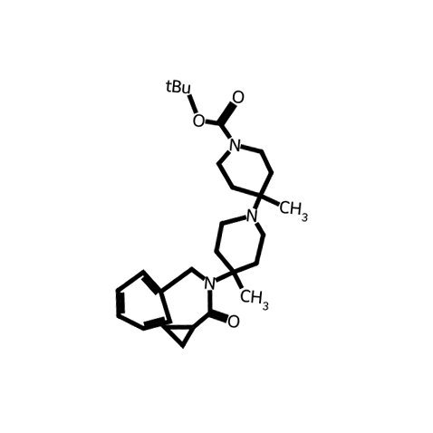 CC(C)(C)OC(=O)N1CCC(C)(N2CCC(C)(N(Cc3ccccc3)C(=O)C3CC3)CC2)CC1